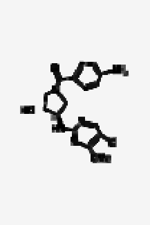 COc1nc(N[C@H]2CCN(C(=O)c3ccc(N)cc3)C2)ncc1Cl.Cl